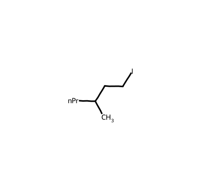 CCCC(C)CCI